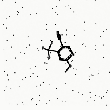 COc1cc(C(F)(F)F)c(C#N)cn1